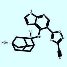 N#Cc1noc(-c2cnc3[nH]ccc3c2N[C@H]2C3CC4CC2C[C@@](O)(C4)C3)n1